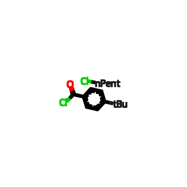 CC(C)(C)c1ccc(C(=O)Cl)cc1.CCCCCCl